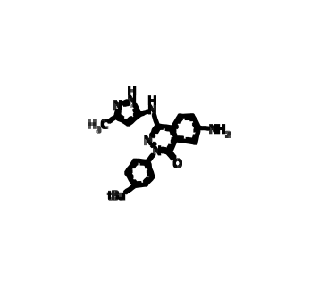 Cc1cc(Nc2nn(-c3ccc(C(C)(C)C)cc3)c(=O)c3cc(N)ccc23)[nH]n1